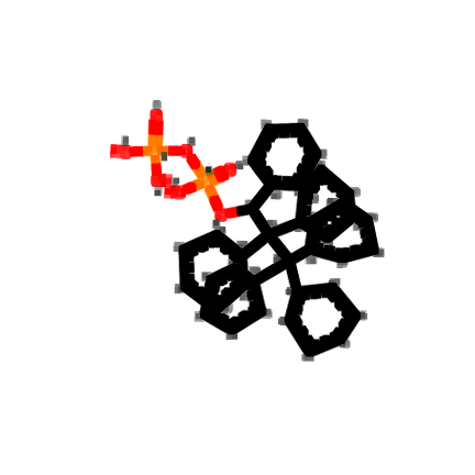 O=P(O)(O)OP(=O)(O)OC(c1ccccc1)C(c1ccccc1)(c1ccccc1)C(c1ccccc1)(c1ccccc1)c1ccccc1